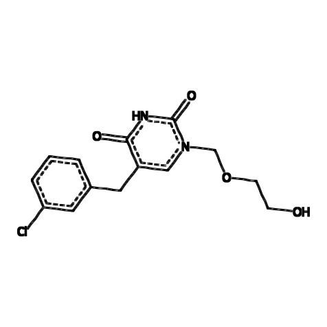 O=c1[nH]c(=O)n(COCCO)cc1Cc1cccc(Cl)c1